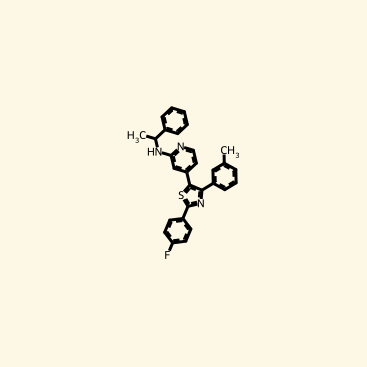 Cc1cccc(-c2nc(-c3ccc(F)cc3)sc2-c2ccnc(NC(C)c3ccccc3)c2)c1